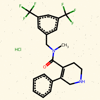 CN(Cc1cc(C(F)(F)F)cc(C(F)(F)F)c1)C(=O)C1=C(c2ccccc2)CNCC1.Cl